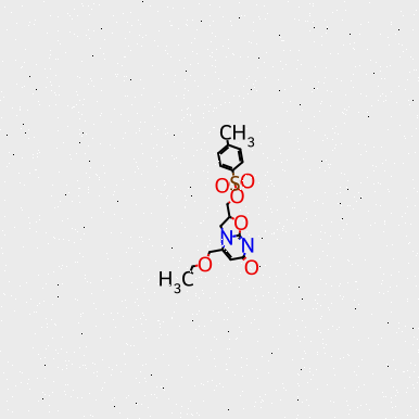 CCOCc1cc(=O)nc2n1CC(COS(=O)(=O)c1ccc(C)cc1)O2